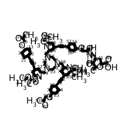 CCOP(C)(=O)c1cc(C#Cc2ccc(OCC(C)=O)cc2)cc(CN2CCN(Cc3cc(C#Cc4ccc(OCC(=O)NN[C@@H](CCC(=O)O)C(=O)C(C)=O)cc4)cc(P(C)(C)=O)n3)CCN(Cc3cc(C#Cc4ccc(OCC(C)=O)cc4)cc(P(C)(C)=P)n3)CC2)n1